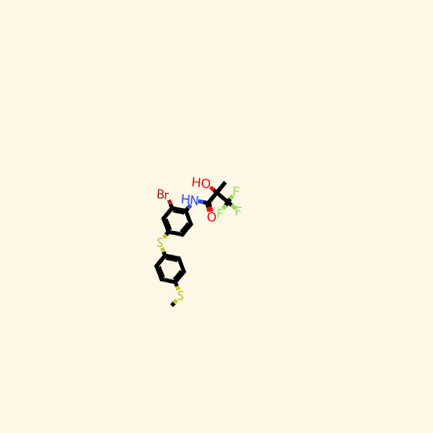 CSc1ccc(Sc2ccc(NC(=O)C(C)(O)C(F)(F)F)c(Br)c2)cc1